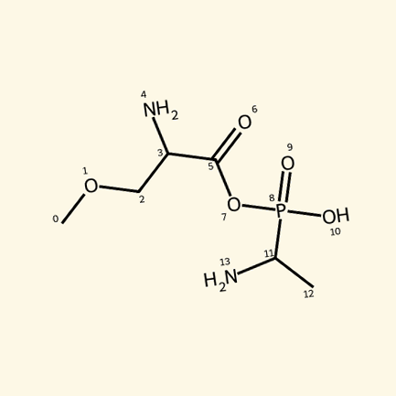 COCC(N)C(=O)OP(=O)(O)C(C)N